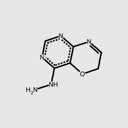 NNc1ncnc2c1OCC=N2